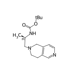 C[C@H](CN1CCc2cnccc2C1)NC(=O)OC(C)(C)C